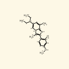 CCN(CC)c1cc(C)c2nc(-c3ccc(OC)cc3Cl)c(C)n2c1